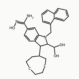 N/C(=N/O)c1ccc2c(c1)N(Cc1cccc3ccccc13)C(C(O)O)C2C1CCCCCCC1